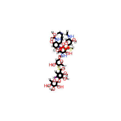 C/C=C\C#CC(OC1OC(C)C(NOC2CC(O)C(SC(=O)c3c(C)c(I)c(OC4OC(C)C(O)C(OC)C4O)c(OC)c3OC)C(C)O2)C(O)C1OC1CC(OC)[C@H](NCC)CO1)C1/C(=C\CSSSC)[C@@](C)(O)CC(=O)C1NC(=O)OC